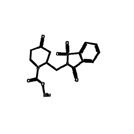 CC(C)(C)OC(=O)N1CCC(=O)CC1CN1C(=O)c2ccccc2S1(=O)=O